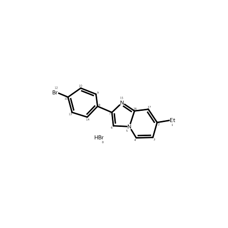 Br.CCc1ccn2cc(-c3ccc(Br)cc3)nc2c1